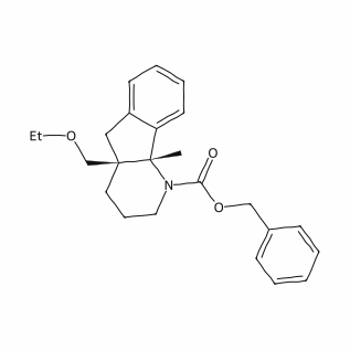 CCOC[C@]12CCCN(C(=O)OCc3ccccc3)[C@@]1(C)c1ccccc1C2